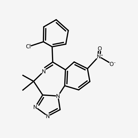 CC1(C)N=C(c2ccccc2Cl)c2cc([N+](=O)[O-])ccc2-n2cnnc21